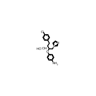 Cl.Cl.Nc1ccc(OC(CCc2ccc(Cl)cc2)Cn2ccnc2)cc1